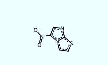 O=[N+]([O-])c1cnc2sccn12